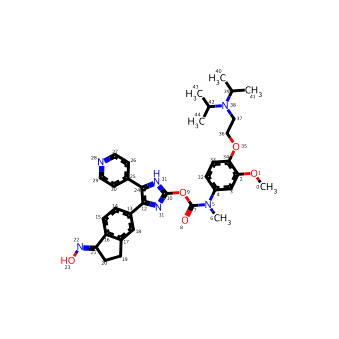 COc1cc(N(C)C(=O)Oc2nc(-c3ccc4c(c3)CCC4=NO)c(-c3ccncc3)[nH]2)ccc1OCCN(C(C)C)C(C)C